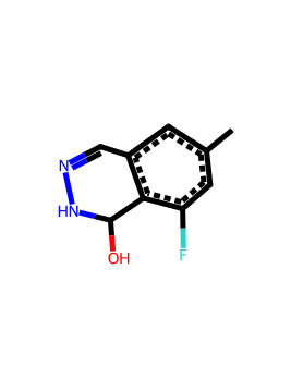 Cc1cc(F)c2c(c1)C=NNC2O